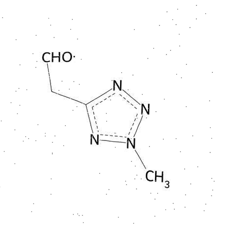 Cn1nnc(C[C]=O)n1